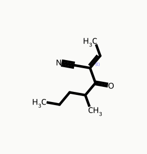 C/C=C(\C#N)C(=O)C(C)CCC